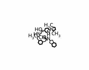 Cc1ccc(C)n1-c1ccc([C@@H](O)CNC(C)(C)Cc2cccc(CC(=O)NC3Cc4ccccc4C3)c2)cn1